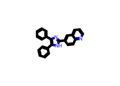 c1ccc(-c2nc(-c3ccc4ncccc4c3)[nH]c2-c2ccccc2)cc1